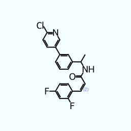 CC(NC(=O)/C=C\c1ccc(F)cc1F)c1cccc(-c2ccc(Cl)nc2)c1